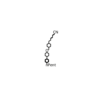 CCCCCc1ccc(C2CCC(OCC3CCC(CCC=CC=CC#N)CC3)CC2)cc1